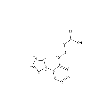 CCC(O)CSOc1ccccc1-n1ccnc1